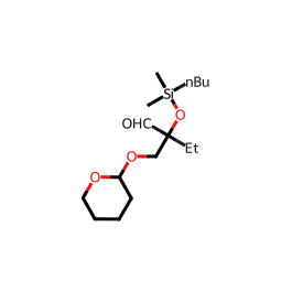 CCCC[Si](C)(C)OC(C=O)(CC)COC1CCCCO1